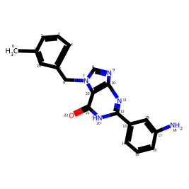 Cc1cccc(Cn2cnc3nc(-c4cccc(N)c4)[nH]c(=O)c32)c1